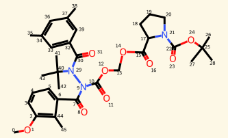 COc1cccc(C(=O)N(C(=O)OCOC(=O)C2CCCN2C(=O)OC(C)(C)C)N(C(=O)c2cc(C)cc(C)c2)C(C)(C)C)c1C